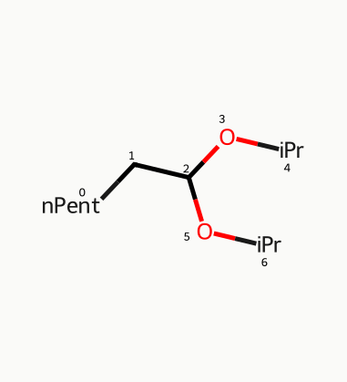 CCCCCCC(OC(C)C)OC(C)C